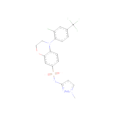 Cn1ccc(NS(=O)(=O)c2ccc3c(c2)OCCN3c2ccc(C(F)(F)F)cc2Cl)n1